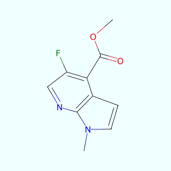 COC(=O)c1c(F)cnc2c1ccn2C